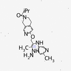 C/C(NN)=C(\COc1cc2c(cn1)CN(C(=O)C(C)C)CC2)Nc1ccc(C)nc1